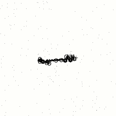 CC1(C)OCc2cc([C@@H]3CN(CCCCCOCCCOCc4cccc(N(C(N)=O)c5cccc([N+](=O)[O-])c5)c4)C(=O)O3)ccc2O1